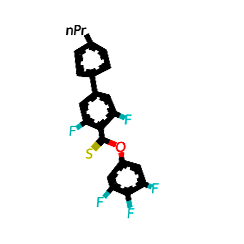 CCCc1ccc(-c2cc(F)c(C(=S)Oc3cc(F)c(F)c(F)c3)c(F)c2)cc1